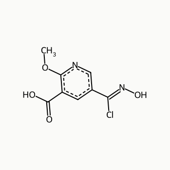 COc1ncc(/C(Cl)=N/O)cc1C(=O)O